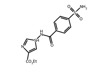 CCOC(=O)C1=C[SH](NC(=O)c2ccc(S(N)(=O)=O)cc2)C=N1